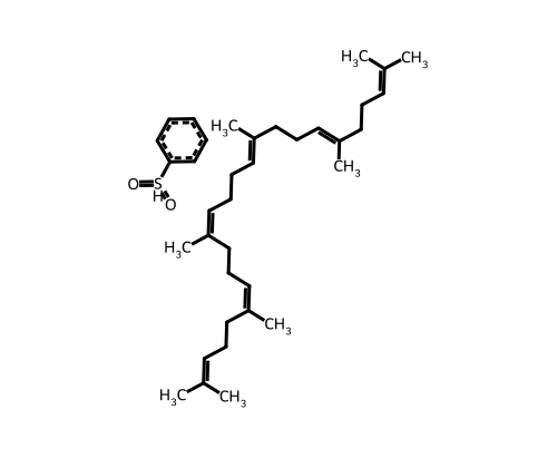 CC(C)=CCCC(C)=CCCC(C)=CCCC=C(C)CCC=C(C)CCC=C(C)C.O=[SH](=O)c1ccccc1